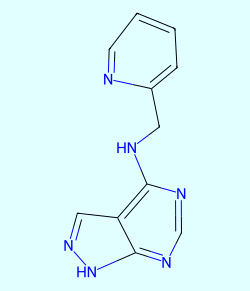 c1ccc(CNc2ncnc3[nH]ncc23)nc1